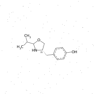 CC(C)C1N[C@@H](Cc2ccc(O)cc2)CO1